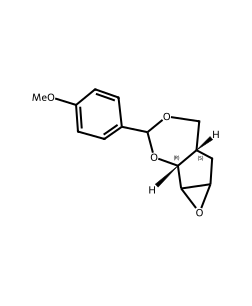 COc1ccc(C2OC[C@@H]3CC4OC4[C@@H]3O2)cc1